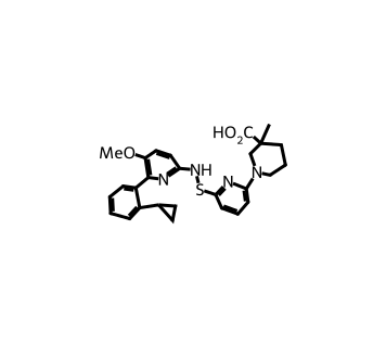 COc1ccc(NSc2cccc(N3CCCC(C)(C(=O)O)C3)n2)nc1-c1ccccc1C1CC1